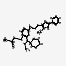 COC(c1cc(OCCc2nc(-c3ccccc3)oc2C)ccc1CCC(=O)O)C1CCCCC1